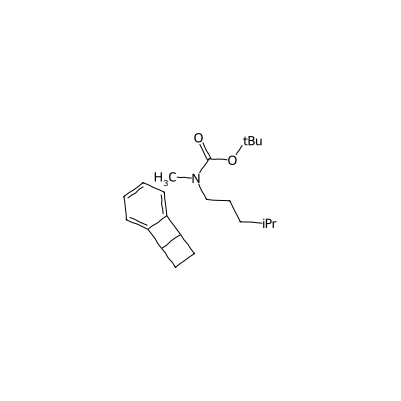 CC(C)CCCN(C)C(=O)OC(C)(C)C.c1ccc2c(c1)C1CCC21